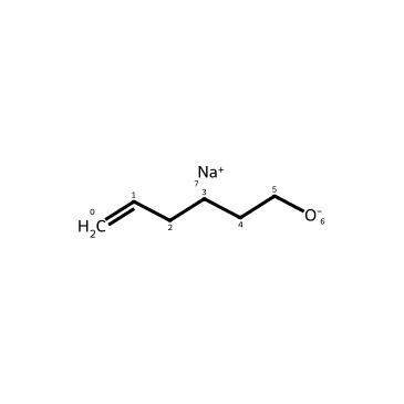 C=CCCCC[O-].[Na+]